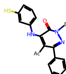 CCn1nc(-c2ccccc2)c(C(C)=O)c(Nc2cccc(S)c2)c1=O